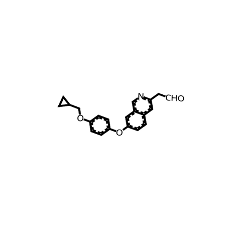 O=CCc1cc2ccc(Oc3ccc(OCC4CC4)cc3)cc2cn1